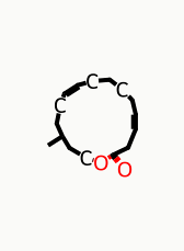 CC1CCC=CCCCCC=CCC(=O)OCC1